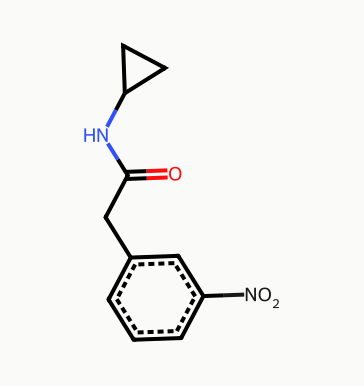 O=C(Cc1cccc([N+](=O)[O-])c1)NC1CC1